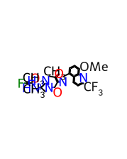 COc1ccc(-c2nc(C(=O)N3CC(NC(=O)C(C)(C)F)C3)c([C@H](C)N)o2)c2ccc(C(F)(F)F)nc12